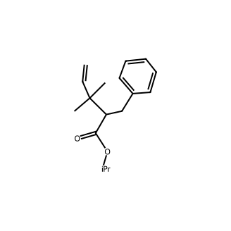 C=CC(C)(C)C(Cc1ccccc1)C(=O)OC(C)C